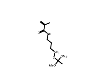 C=C(C)C(=O)NCCC[SiH2]OC(C)(OC)OC